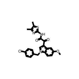 COc1ccc2c(c1)c(C(=O)C(=O)Nc1nc(C)c(C)s1)cn2Cc1ccc(Cl)cc1